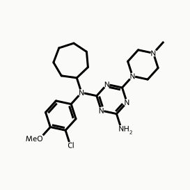 COc1ccc(N(c2nc(N)nc(N3CCN(C)CC3)n2)C2CCCCCC2)cc1Cl